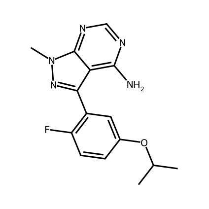 CC(C)Oc1ccc(F)c(-c2nn(C)c3ncnc(N)c23)c1